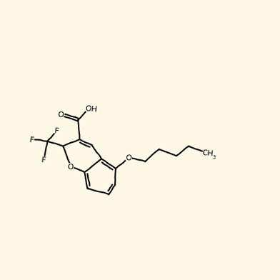 CCCCCOc1cccc2c1C=C(C(=O)O)C(C(F)(F)F)O2